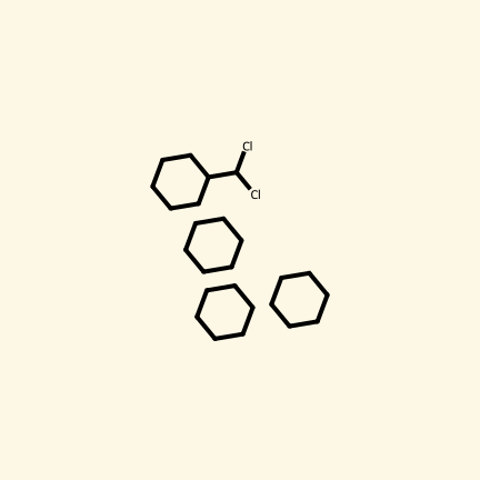 C1CCCCC1.C1CCCCC1.C1CCCCC1.ClC(Cl)C1CCCCC1